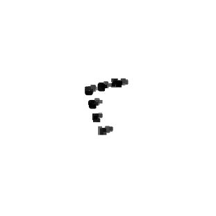 [In+3].[K+].[O-2].[O-2].[O-2].[Zn+2]